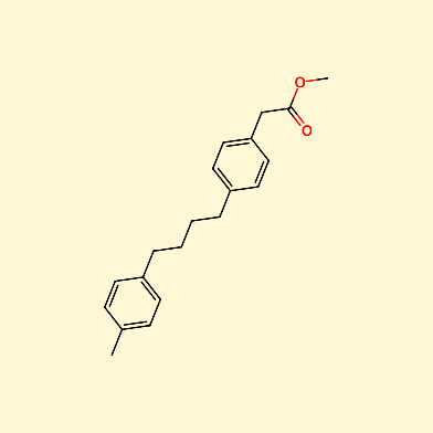 COC(=O)Cc1ccc(CCCCc2ccc(C)cc2)cc1